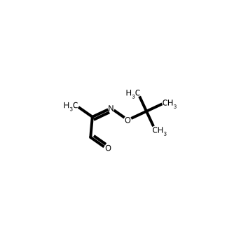 CC(C=O)=NOC(C)(C)C